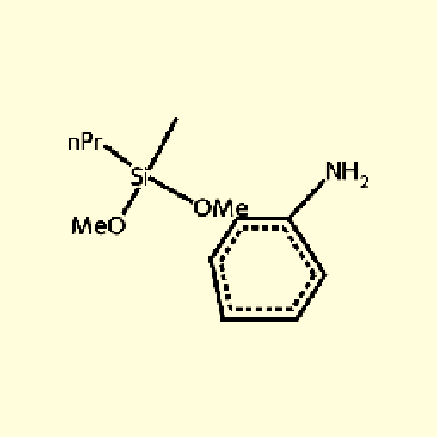 CCC[Si](C)(OC)OC.Nc1ccccc1